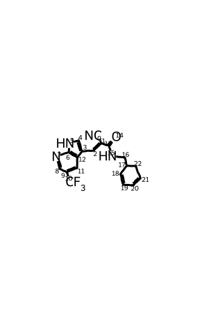 N#C/C(=C\c1c[nH]c2ncc(C(F)(F)F)cc12)C(=O)NCC1C=CC=CC1